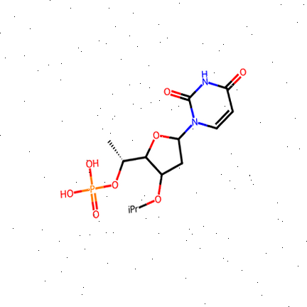 CC(C)OC1CC(n2ccc(=O)[nH]c2=O)OC1[C@@H](C)OP(=O)(O)O